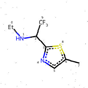 CCNC(c1ncc(C)s1)C(F)(F)F